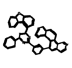 c1ccc(-c2nc(-c3cccc(-c4cc5ccncc5c5ccc6ccccc6c45)c3)nc(-c3cccc4oc5ccccc5c34)n2)cc1